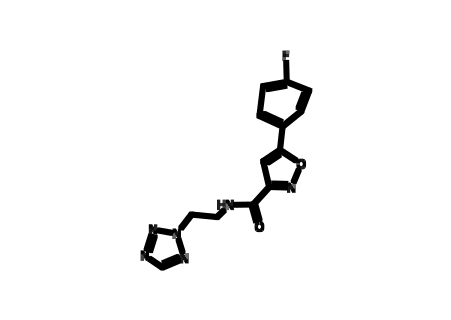 O=C(NCCn1ncnn1)c1cc(-c2ccc(F)cc2)on1